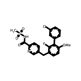 COc1ccc(Cc2ccc(C(=O)NS(C)(=O)=O)nc2)c(F)c1-c1cccc(Cl)c1